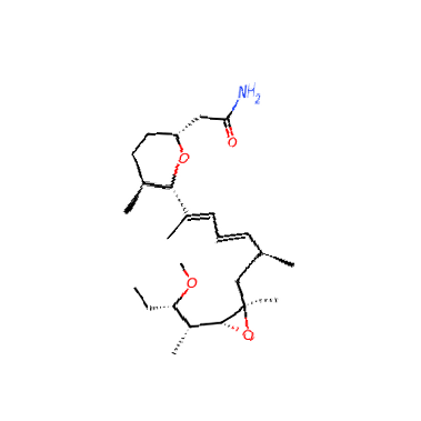 CC[C@H](OC)[C@@H](C)[C@H]1O[C@]1(C)C[C@H](C)/C=C/C=C(\C)[C@H]1O[C@@H](CC(N)=O)CC[C@@H]1C